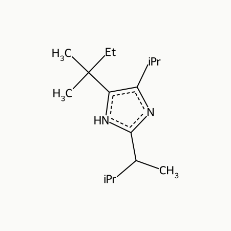 CCC(C)(C)c1[nH]c(C(C)C(C)C)nc1C(C)C